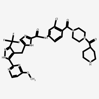 COc1ccnc(-c2[nH]nc(C(F)(F)F)c2Cc2cnc(C(=O)Nc3ccc(C(=O)N4CCN(C(=O)C5CCNCC5)CC4)c(Cl)c3)[nH]2)n1